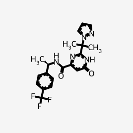 C[C@@H](NC(=O)c1cc(=O)[nH]c(C(C)(C)n2cccn2)n1)c1ccc(C(F)(F)F)cc1